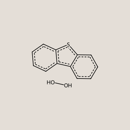 OO.c1ccc2c(c1)sc1ccccc12